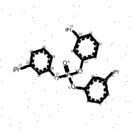 CC(C)c1cccc(OP(=O)(Oc2cccc(C(C)C)c2)Oc2cccc(C(C)C)c2)c1